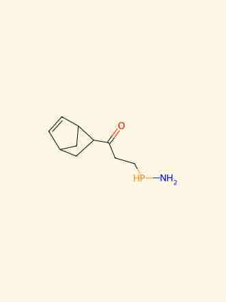 NPCCC(=O)C1CC2C=CC1C2